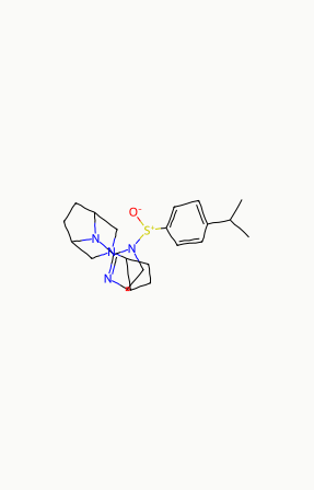 CC(C)c1ccc([S+]([O-])N2CCN=C2N2C3CCC2CN(C2CCC2)C3)cc1